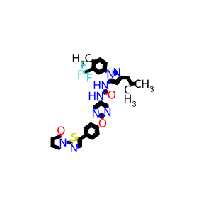 Cc1ccc(-n2nc(CC(C)C)cc2NC(=O)Nc2cnc(Oc3ccc(-c4cnc(N5CCCC5=O)s4)cc3)nc2)cc1C(F)(F)F